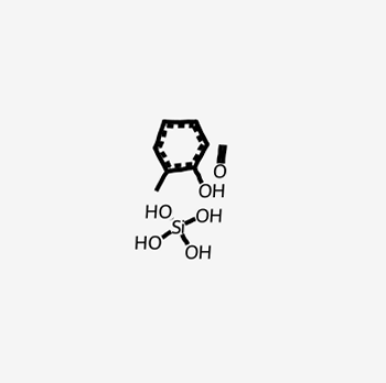 C=O.Cc1ccccc1O.O[Si](O)(O)O